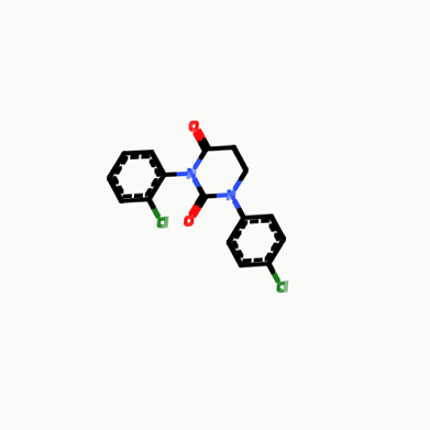 O=C1CCN(c2ccc(Cl)cc2)C(=O)N1c1ccccc1Cl